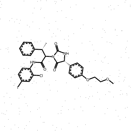 COCCOc1ccc([C@H]2NC(=O)N(C(C(=O)Nc3ccc(I)cc3Cl)[C@@H](C)c3ccccc3)C2=O)cc1